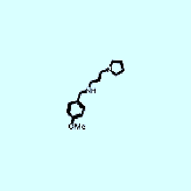 COc1ccc(CNCCCN2CCCC2)cc1